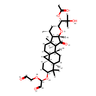 CC(=O)O[C@@H]([C@H]1C[C@@H](C)C2[C@H](O1)C(=O)[C@@]1(C)[C@@H]3CC[C@H]4C(C)(C)[C@@H](O[C@@H](C=O)OCC=O)CC[C@@]45C[C@@]35CC[C@]21C)C(C)(C)O